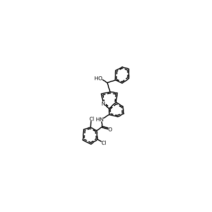 O=C(Nc1cccc2cc(C(O)c3ccccc3)cnc12)c1c(Cl)cccc1Cl